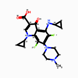 CN1CCN(c2c(F)c(NC3CC3)c3c(=O)c(C(=O)O)cn(C4CC4)c3c2F)CC1